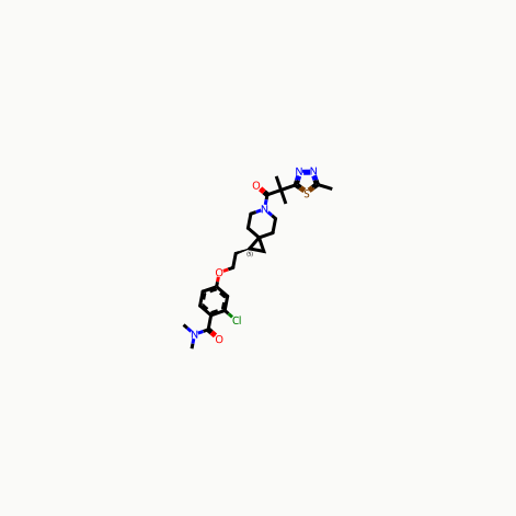 Cc1nnc(C(C)(C)C(=O)N2CCC3(CC2)C[C@H]3CCOc2ccc(C(=O)N(C)C)c(Cl)c2)s1